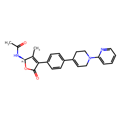 CC(=O)N[C@@H]1OC(=O)C(c2ccc(C3=CCN(c4ccccn4)CC3)cc2)=C1C